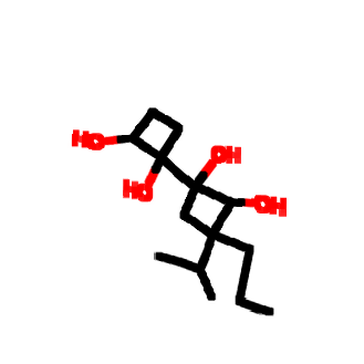 CCCC1(C(C)C)CC(O)(C2(O)CCC2O)C1O